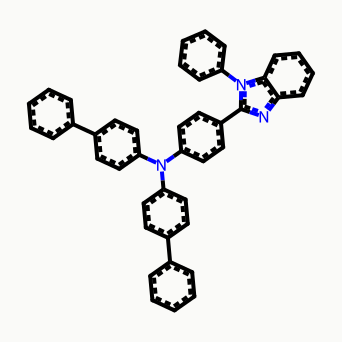 c1ccc(-c2ccc(N(c3ccc(-c4ccccc4)cc3)c3ccc(-c4nc5ccccc5n4-c4ccccc4)cc3)cc2)cc1